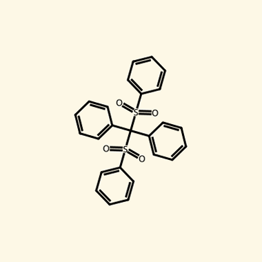 O=S(=O)(c1ccccc1)C(c1ccccc1)(c1ccccc1)S(=O)(=O)c1ccccc1